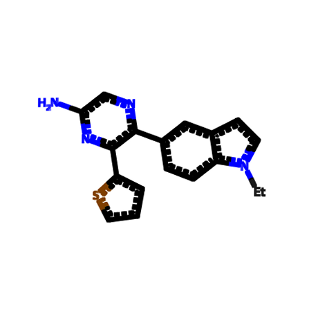 CCn1ccc2cc(-c3ncc(N)nc3-c3cccs3)ccc21